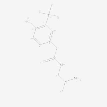 CC(N)CNC(=O)Cc1ccc(O)c(C(C)(C)C)c1